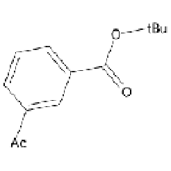 CC(=O)c1cccc(C(=O)OC(C)(C)C)c1